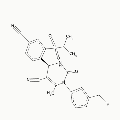 CC1=C(C#N)[C@@H](c2ccc(C#N)cc2S(=O)(=O)C(C)C)NC(=O)N1c1cccc(CF)c1